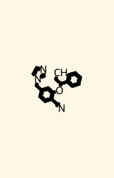 CCC(Oc1cc(Cn2ccnc2)ccc1C#N)c1ccccc1